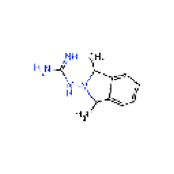 CC1c2ccccc2C(C)N1NC(=N)N